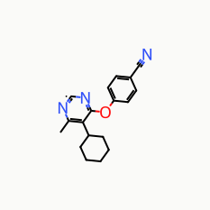 Cc1n[c]nc(Oc2ccc(C#N)cc2)c1C1CCCCC1